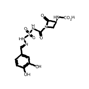 O=C(O)N[C@H]1CN(C(=O)NS(=O)(=O)N/N=C/c2ccc(O)c(O)c2)C1=O